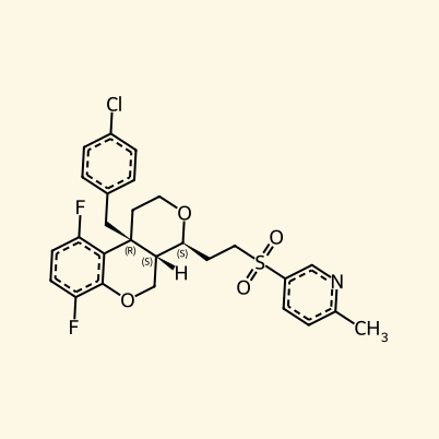 Cc1ccc(S(=O)(=O)CC[C@@H]2OCC[C@@]3(Cc4ccc(Cl)cc4)c4c(F)ccc(F)c4OC[C@@H]23)cn1